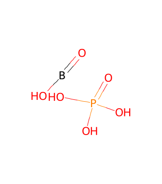 O=BO.O=P(O)(O)O